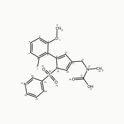 COc1cccc(F)c1-c1cc(CN(C)C(=O)O)cn1S(=O)(=O)c1cccnc1